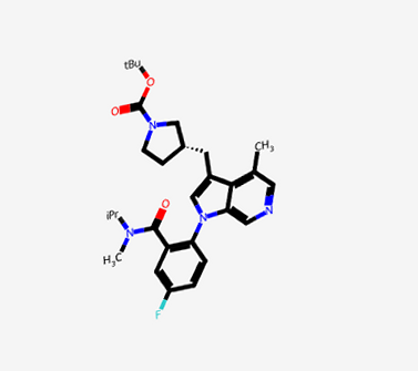 Cc1cncc2c1c(C[C@@H]1CCN(C(=O)OC(C)(C)C)C1)cn2-c1ccc(F)cc1C(=O)N(C)C(C)C